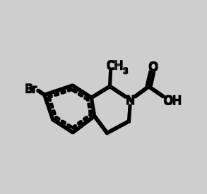 CC1c2cc(Br)ccc2CCN1C(=O)O